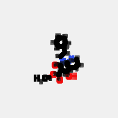 CCOC(=O)c1c(O)c2cccnc2n(CCc2ccccc2)c1=O